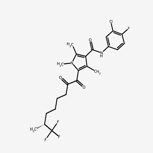 Cc1c(C(=O)Nc2ccc(F)c(Cl)c2)c(C)n(C)c1C(=O)C(=O)CCCC[C@@H](C)C(F)(F)F